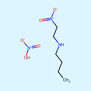 CCCCNCC[N+](=O)[O-].O=[N+]([O-])O